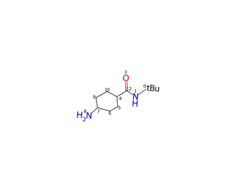 CC(C)(C)NC(=O)C1CCC(N)CC1